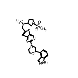 CN(Cc1cc2nc(N3CCOC(c4cccc5[nH]ncc45)C3)ncc2s1)C1CCN(S(C)(=O)=O)C1